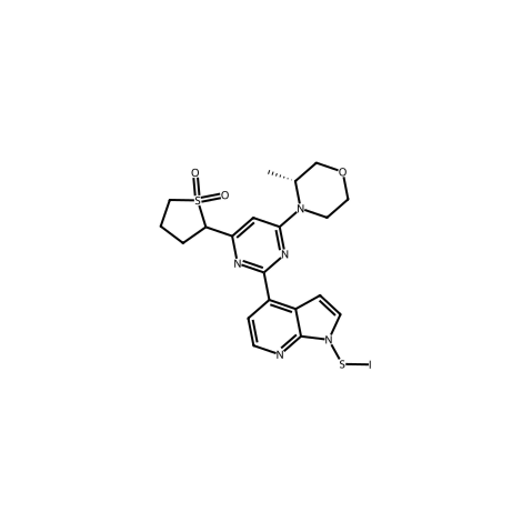 C[C@@H]1COCCN1c1cc(C2CCCS2(=O)=O)nc(-c2ccnc3c2ccn3SI)n1